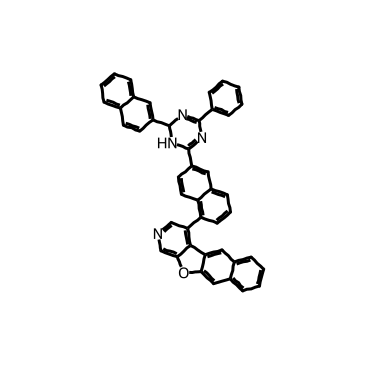 c1ccc(C2=NC(c3ccc4ccccc4c3)NC(c3ccc4c(-c5cncc6oc7cc8ccccc8cc7c56)cccc4c3)=N2)cc1